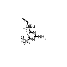 C=O.CC(C)COCC(C)C.Nc1nc(N)nc(N)n1